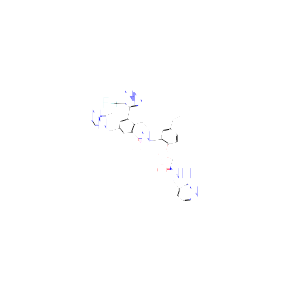 CCc1ccc(OCC(=O)NCc2cccnc2)c(CN2CCc3c(cc(Cn4ccnc4C)cc3-c3cn(C)nc3C(F)(F)F)C2=O)c1